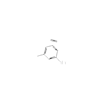 C=C.Cc1cccc(C(C)C)c1